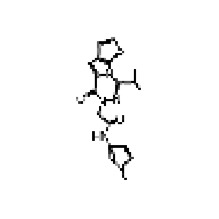 CC(C)c1nn(CC(=O)Nc2ccn(C)n2)c(=O)c2cc3ccsc3n12